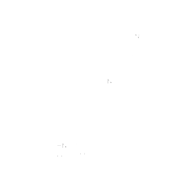 O=C(C=Cc1ccc2c(c1)CCC2NCCc1ccncc1)NO